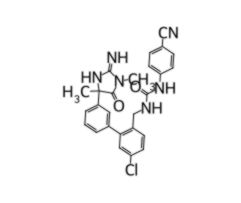 CN1C(=N)NC(C)(c2cccc(-c3cc(Cl)ccc3CNC(=O)Nc3ccc(C#N)cc3)c2)C1=O